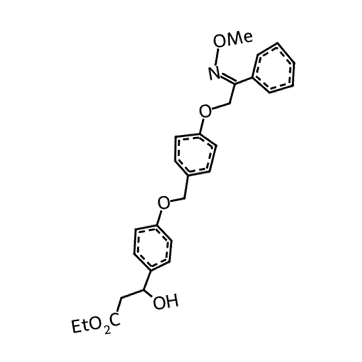 CCOC(=O)CC(O)c1ccc(OCc2ccc(OCC(=NOC)c3ccccc3)cc2)cc1